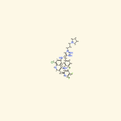 N#Cc1cnc2c(Cl)cc(N[C@H](C3=CN(CCCN4CCCC4)NN3)c3ccc(F)cc3)cc2c1Nc1cnc(F)c(F)c1